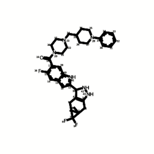 CC12CC3=C(CC1C2(F)F)C(c1cc2cc(F)c(C(=O)N4CCN(CC5CCN(c6ccccc6)CC5)CC4)cc2[nH]1)NN3